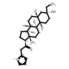 CC[C@@]1(O)CC[C@H]2[C@H](CC[C@@H]3[C@@H]2CC[C@]2(C)[C@@H](C(=O)Cc4ccco4)CC[C@@H]32)C1